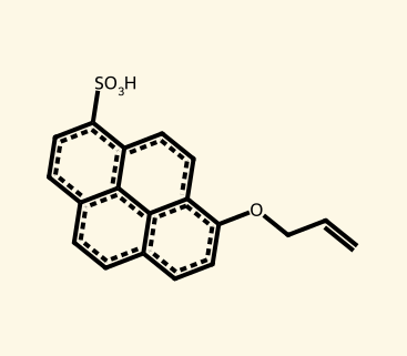 C=CCOc1ccc2ccc3ccc(S(=O)(=O)O)c4ccc1c2c34